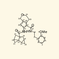 COc1ccccc1CCNC(=O)c1c(NC(=O)C23CC4CC4C24CC4C3)sc2c1CCOC2